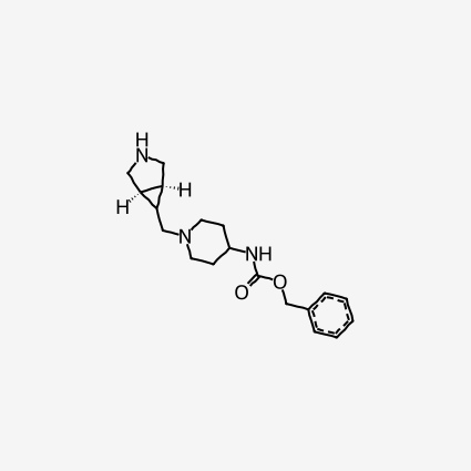 O=C(NC1CCN(CC2[C@H]3CNC[C@@H]23)CC1)OCc1ccccc1